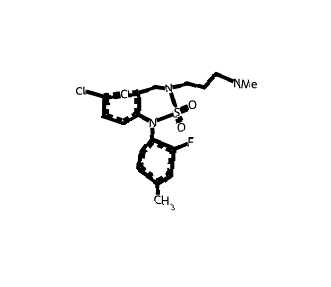 CNCCCN1Cc2cc(Cl)ccc2N(c2ccc(C)cc2F)S1(=O)=O